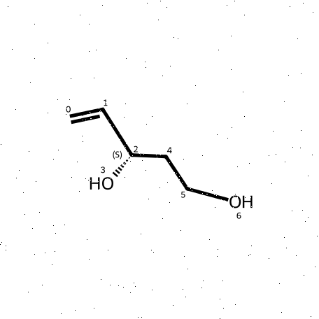 C=C[C@@H](O)CCO